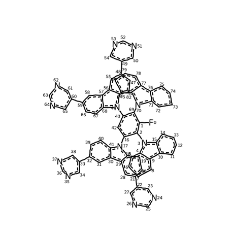 Fc1c(-n2c3ccccc3c3ccccc32)c(-n2c3ccc(-c4cncnc4)cc3c3cc(-c4cncnc4)ccc32)cc(-n2c3ccc(-c4cncnc4)cc3c3cc(-c4cncnc4)ccc32)c1-n1c2ccccc2c2ccccc21